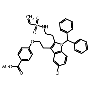 C=CS(=O)(=O)NCCc1c(CCOc2ccc(C(=O)OC)cc2)c2cc(Cl)ccc2n1C(c1ccccc1)c1ccccc1